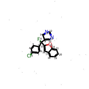 FC(c1ccc(Cl)cc1)(c1cncnc1)c1cc2ccccc2o1